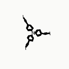 IC#Cc1ccc(N(c2ccc(C#CI)cc2)c2ccc(C#CI)cc2)cc1